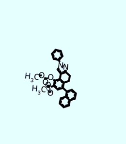 COC(=O)Oc1c(S(C)(=O)=O)cc(-c2cccc3ccccc23)c2c1-c1cn(-c3ccccc3)nc1CC2